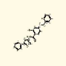 O=C(Nc1nnc(-c2ccncc2)s1)c1ccc(OCc2ccccc2)cc1F